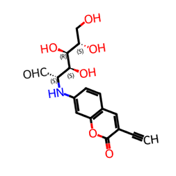 C#Cc1cc2ccc(N[C@H](C=O)[C@H](O)[C@@H](O)[C@@H](O)CO)cc2oc1=O